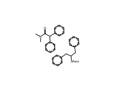 CCCCCC(Cc1ccccc1)Cc1ccccc1.CN(C)C(=O)C(c1ccccc1)c1ccccc1